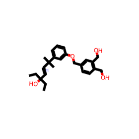 CCC(O)(/C=C/C(C)(C)c1cccc(OCc2ccc(CO)c(CO)c2)c1)CC